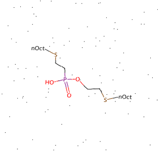 CCCCCCCCSCCOP(=O)(O)CCSCCCCCCCC